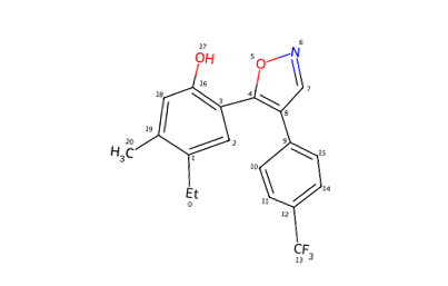 CCc1cc(-c2oncc2-c2ccc(C(F)(F)F)cc2)c(O)cc1C